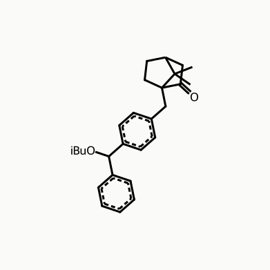 CC(C)COC(c1ccccc1)c1ccc(CC23CCC(CC2=O)C3(C)C)cc1